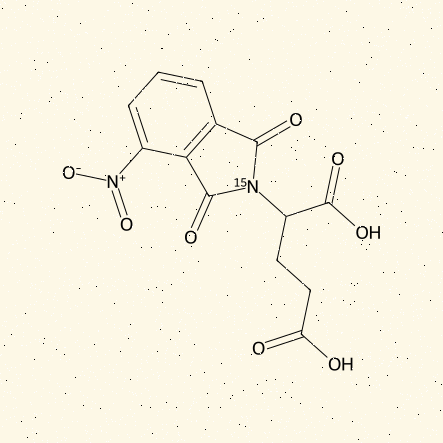 O=C(O)CCC(C(=O)O)[15N]1C(=O)c2cccc([N+](=O)[O-])c2C1=O